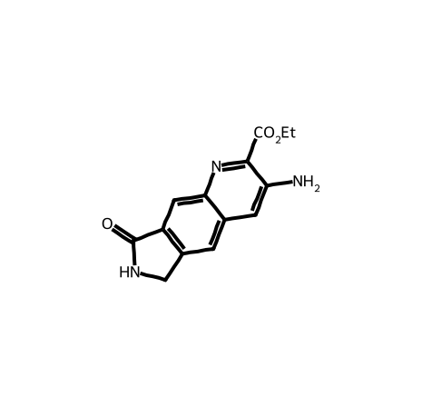 CCOC(=O)c1nc2cc3c(cc2cc1N)CNC3=O